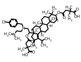 CC(C)C1=C2[C@H]3CC[C@@H]4[C@@]5(C)CC[C@H](OC(=O)CC(C)(C)C(=O)O)C(C)(C)C5CC[C@@]4(C)[C@]3(C)CCC2(C(CN(CCN(C)C)Cc2ccc(Cl)cc2)OC(=O)CC(C)(C)C(=O)O)CC1=O